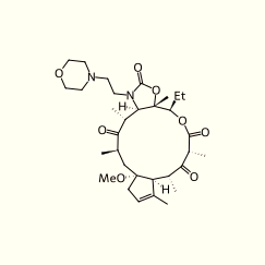 CC[C@H]1OC(=O)[C@H](C)C(=O)[C@H](C)[C@H]2C(C)=CC[C@@]2(OC)C[C@@H](C)C(=O)[C@H](C)[C@H]2N(CCN3CCOCC3)C(=O)O[C@]12C